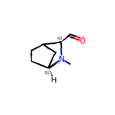 CN1[C@H]2CCC(C2)[C@H]1C=O